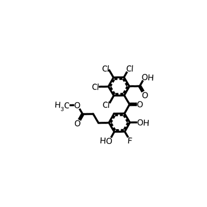 COC(=O)CCc1cc(C(=O)c2c(Cl)c(Cl)c(Cl)c(Cl)c2C(=O)O)c(O)c(F)c1O